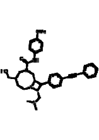 COc1ccc(NC(=O)N2CC(CO)CCN3C(C2)C(c2ccc(C#Cc4ccccc4)cc2)[C@H]3CN(C)C)cc1